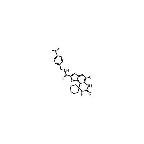 CN(C)c1ccc(CNC(=O)c2cc3cc(Cl)c4c(c3o2)C2(CCCCC2)NC(=O)N4)cc1